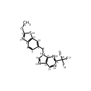 CSc1nc2ccc(Cn3cnc4cnc(C(F)(F)F)nc43)cc2s1